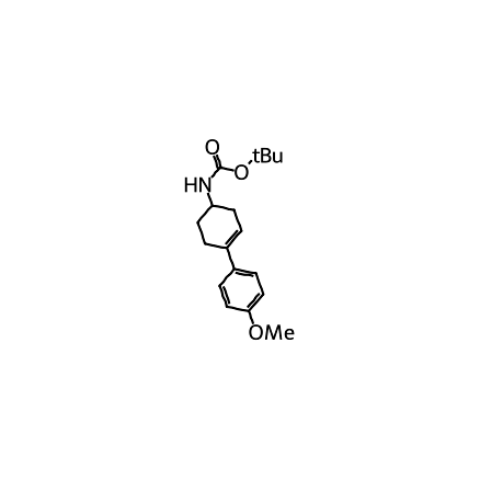 COc1ccc(C2=CCC(NC(=O)OC(C)(C)C)CC2)cc1